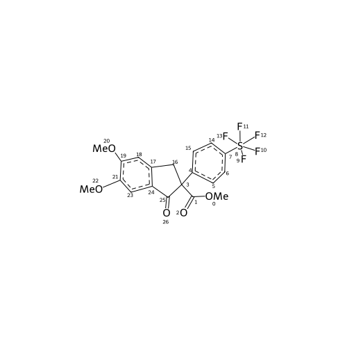 COC(=O)C1(c2ccc(S(F)(F)(F)(F)F)cc2)Cc2cc(OC)c(OC)cc2C1=O